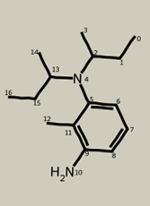 CCC(C)N(c1cccc(N)c1C)C(C)CC